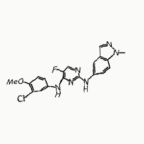 COc1ccc(Nc2nc(Nc3ccc4c(cnn4C)c3)ncc2F)cc1Cl